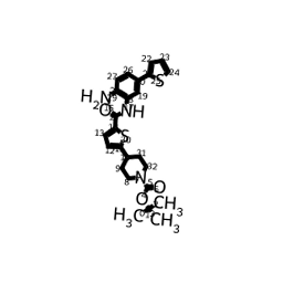 CC(C)(C)OC(=O)N1CCC(c2ccc(C(=O)Nc3cc(-c4cccs4)ccc3N)s2)CC1